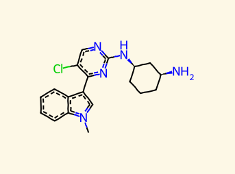 Cn1cc(-c2nc(N[C@@H]3CCC[C@H](N)C3)ncc2Cl)c2ccccc21